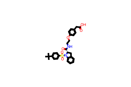 CC(C)(C)c1ccc(S(=O)(=O)N2c3ccccc3C[C@H]2C(=O)NCCOc2ccc(CC(=O)O)cc2)cc1